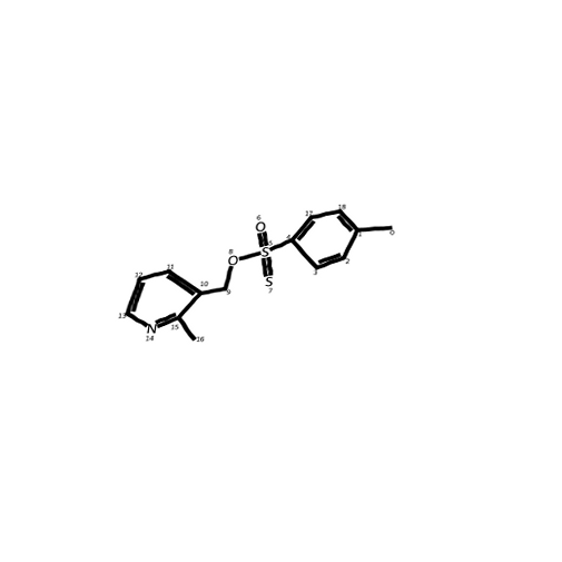 Cc1ccc(S(=O)(=S)OCc2cccnc2C)cc1